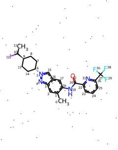 Cc1cc2nn([C@H]3CC[C@H](C(C)I)CC3)cc2cc1NC(=O)c1cccc(C(F)(F)F)n1